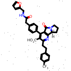 O=C(Cc1ccc(-c2c(C(=O)O)c(CCc3ccc(C(F)(F)F)cc3)nc3c2C(=O)N2CCC[C@@H]32)cc1)NCc1ccco1